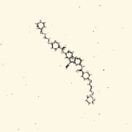 C#CC1c2cc(OC(=O)C3CCC(OCCCOC4CCCCO4)CC3)ccc2-c2ccc(OC(=O)C3CCC(OCCCOC4CCCCO4)CC3)cc21